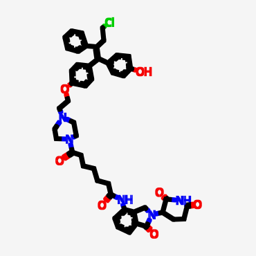 O=C1CCC(N2Cc3c(NC(=O)CCCCCC(=O)N4CCN(CCOc5ccc(C(=C(CCCl)c6ccccc6)c6ccc(O)cc6)cc5)CC4)cccc3C2=O)C(=O)N1